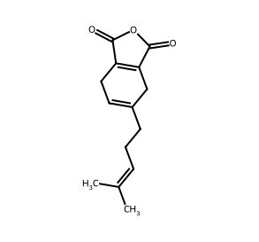 CC(C)=CCCC1=CCC2=C(C1)C(=O)OC2=O